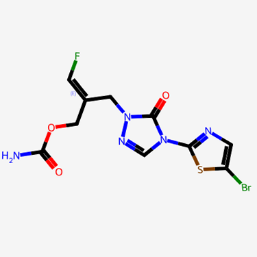 NC(=O)OC/C(=C/F)Cn1ncn(-c2ncc(Br)s2)c1=O